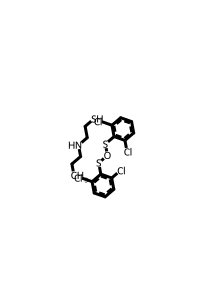 CCCNCCS.Clc1cccc(Cl)c1SOSc1c(Cl)cccc1Cl